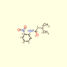 CC(C)CC(=O)Nc1ccccc1[N+](=O)[O-]